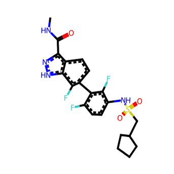 CNC(=O)c1n[nH]c2c(F)c(-c3c(F)ccc(NS(=O)(=O)CC4CCCC4)c3F)ccc12